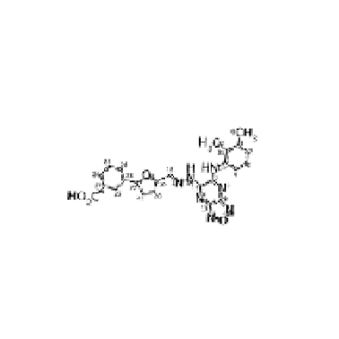 Cc1cccc(Nc2nc3nonc3nc2NN=Cc2ccc(-c3cccc(C(=O)O)c3)o2)c1C